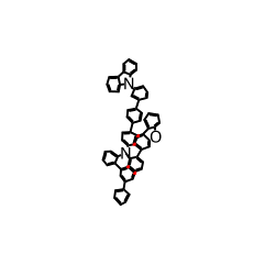 c1ccc(-c2cccc(-c3ccccc3N(c3ccc(-c4ccc(-c5cccc(-n6c7ccccc7c7ccccc76)c5)cc4)cc3)c3ccccc3-c3ccc4c(c3)oc3ccccc34)c2)cc1